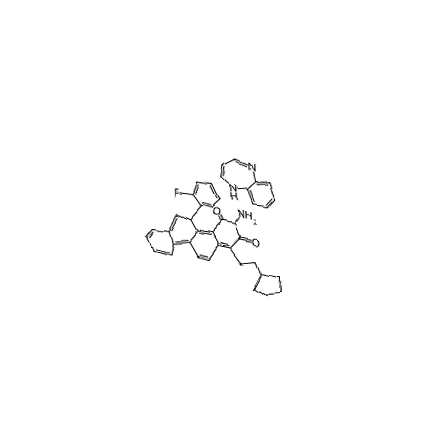 C1=CNc2ccccc2N=C1.NC1C(=O)C(CCC2CCCC2)=c2ccc3c(c2C1=O)C(c1ccccc1F)C=c1ccccc1=3